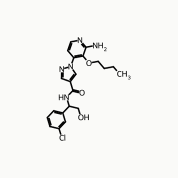 CCCCOc1c(-n2cc(C(=O)NC(CO)c3cccc(Cl)c3)cn2)ccnc1N